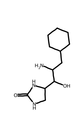 NC(CC1CCCCC1)C(O)C1CNC(=O)N1